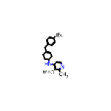 COc1c(NC2CC=C(Cc3ccc(C(C)(C)C)cc3)CC2)ccnc1C